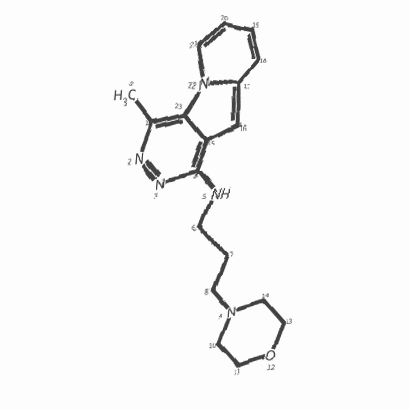 Cc1nnc(NCCCN2CCOCC2)c2cc3ccccn3c12